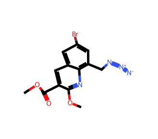 COC(=O)c1cc2cc(Br)cc(CN=[N+]=[N-])c2nc1OC